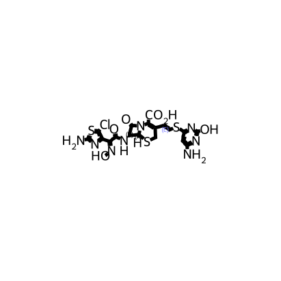 Nc1cc(S/C=C/C2=C(C(=O)O)N3C(=O)[C@@H](NC(=O)C(=NO)c4nc(N)sc4Cl)[C@H]3SC2)nc(O)n1